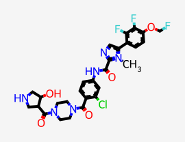 Cn1c(-c2ccc(OCF)c(F)c2F)cnc1C(=O)Nc1ccc(C(=O)N2CCN(C(=O)C3CNCC3O)CC2)c(Cl)c1